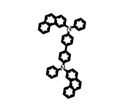 c1ccc(N(c2ccc(-c3ccc(N(c4ccccc4)c4ccc5ccc6ccccc6c5c4)cc3)cc2)c2ccc3ccc4ccccc4c3c2)cc1